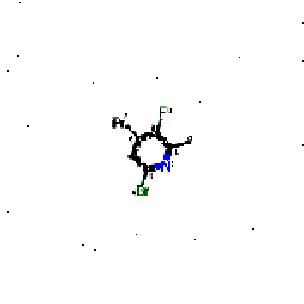 Cc1nc(Br)cc(C(C)C)c1F